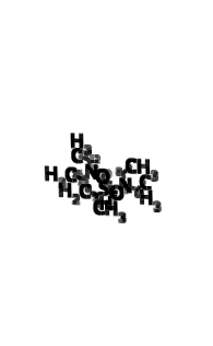 C=C(C)[SiH](ON(CC)CC)ON(CC)CC